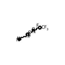 Fc1cc(C(F)(F)F)ccc1C=Cc1nc(COc2ccc(CCCCn3ccnn3)nn2)co1